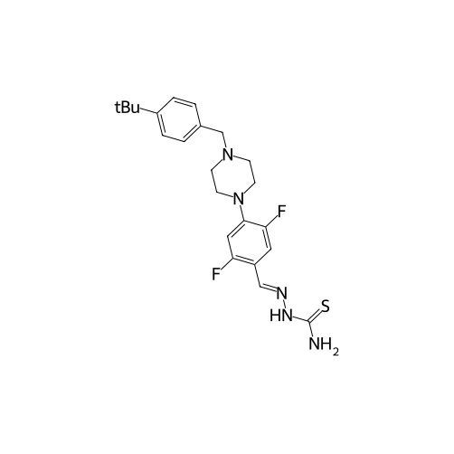 CC(C)(C)c1ccc(CN2CCN(c3cc(F)c(/C=N/NC(N)=S)cc3F)CC2)cc1